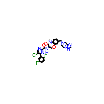 CN1C(=O)[C@@H](NC(=O)c2ncc(Cl)c(-c3cc(F)ccc3F)n2)COc2cc(CN3CCn4ncnc4C3)ccc21